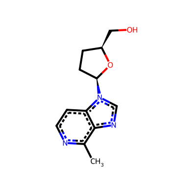 Cc1nccc2c1ncn2[C@H]1CC[C@@H](CO)O1